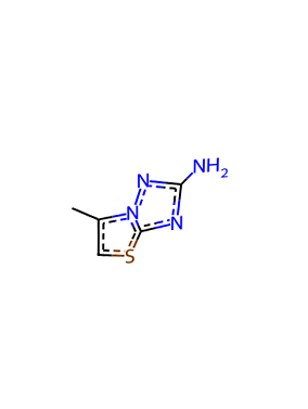 Cc1csc2nc(N)nn12